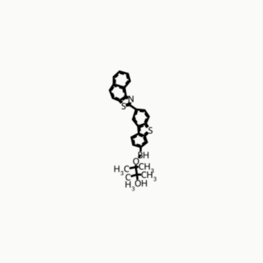 CC(C)(O)C(C)(C)OBc1ccc2c(c1)sc1ccc(-c3nc4c(ccc5ccccc54)s3)cc12